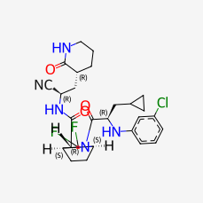 N#C[C@@H](C[C@H]1CCCNC1=O)NC(=O)[C@H]1[C@@H]2CC[C@@H](CC2(F)F)N1C(=O)[C@@H](CC1CC1)Nc1cccc(Cl)c1